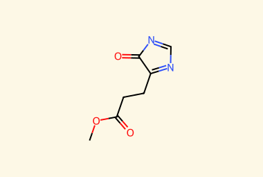 COC(=O)CCC1=NC=NC1=O